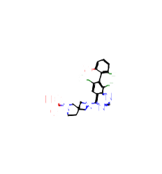 COc1cccc(F)c1-c1c(Cl)cc2c(N3CC4(CCN(C(=O)O)C4)C3)ncnc2c1F